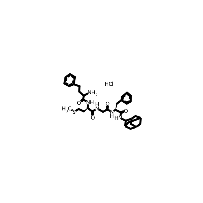 CSCC[C@@H](NC(=O)C(N)CCc1ccccc1)C(=O)NCC(=O)N[C@@H](Cc1ccccc1)C(=O)NC1C2CC3CC(C2)CC1C3.Cl